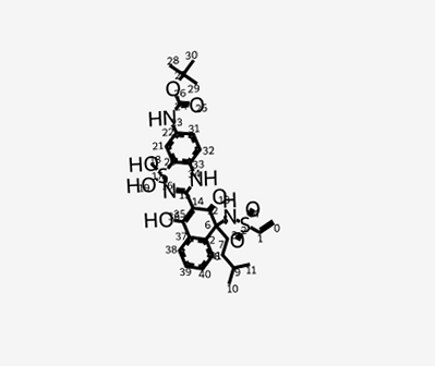 C=CS(=O)(=O)NC1(CCC(C)C)C(=O)C(C2=NS(O)(O)c3cc(NC(=O)OC(C)(C)C)ccc3N2)=C(O)c2ccccc21